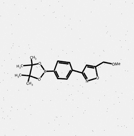 COCc1cc(-c2ccc(B3OC(C)(C)C(C)(C)O3)cc2)no1